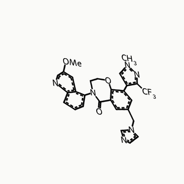 COc1cnc2cccc(N3CCOc4c(cc(Cn5ccnc5)cc4-c4cn(C)nc4C(F)(F)F)C3=O)c2c1